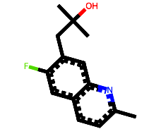 Cc1ccc2cc(F)c(CC(C)(C)O)cc2n1